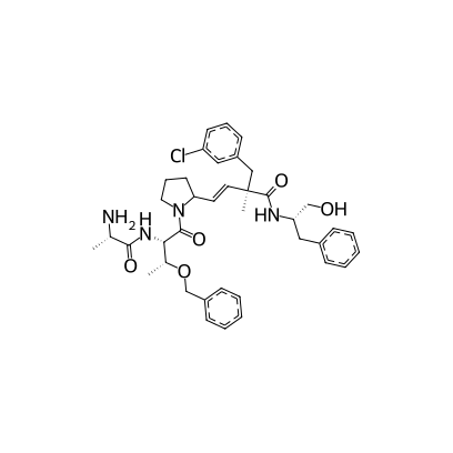 C[C@H](N)C(=O)N[C@H](C(=O)N1CCCC1/C=C/[C@@](C)(Cc1cccc(Cl)c1)C(=O)N[C@H](CO)Cc1ccccc1)[C@@H](C)OCc1ccccc1